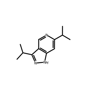 CC(C)c1cc2[nH]nc(C(C)C)c2cn1